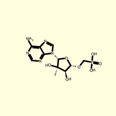 C[C@@]1(O)[C@H](O)[C@@H](OCP(=O)(O)O)O[C@H]1n1cnc2c(N)ncnc21